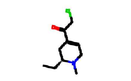 CC[C@@H]1CC(C(=O)CCl)=CCN1C